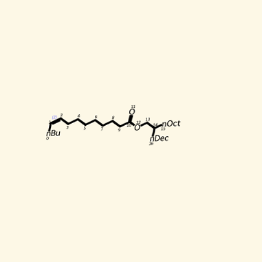 CCCC/C=C\CCCCCCCC(=O)OCC(CCCCCCCC)CCCCCCCCCC